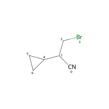 N#CC(CBr)C1CC1